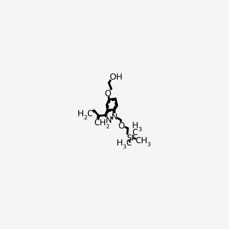 C=CC(=C)c1nn(COCC[Si](C)(C)C)c2ccc(OCCO)cc12